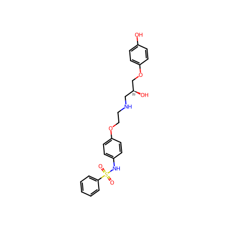 O=S(=O)(Nc1ccc(OCCNC[C@H](O)COc2ccc(O)cc2)cc1)c1ccccc1